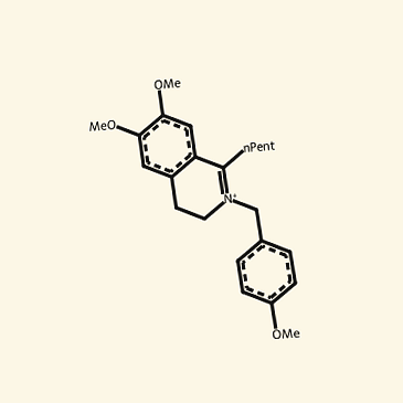 CCCCCC1=[N+](Cc2ccc(OC)cc2)CCc2cc(OC)c(OC)cc21